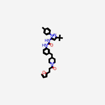 Cc1ccc(-n2nc(C(C)(C)C)cc2NC(=O)Nc2cccc(CC3CCN(C(=O)CCc4ccco4)CC3)c2)cc1